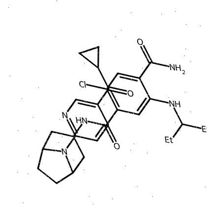 CCC(CC)Nc1cc(C(=O)NC2CC3CCC(C2)N3c2ccc(C(=O)C3CC3)cn2)c(Cl)cc1C(N)=O